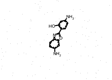 Nc1ccc(-c2nc3ccc(N)cc3o2)c(O)c1